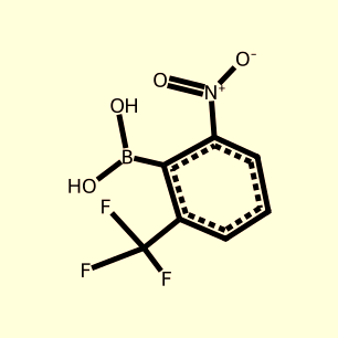 O=[N+]([O-])c1cccc(C(F)(F)F)c1B(O)O